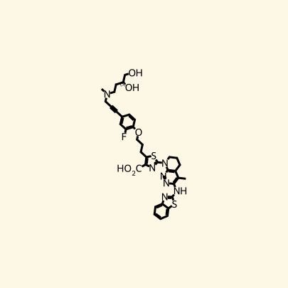 Cc1c(Nc2nc3ccccc3s2)nnc2c1CCCN2c1nc(C(=O)O)c(CCCOc2ccc(C#CCN(C)CC[C@H](O)CO)cc2F)s1